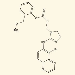 O=C(OCN1CCN=C1Nc1ccc2nccnc2c1Br)Oc1ccccc1CO[N+](=O)[O-]